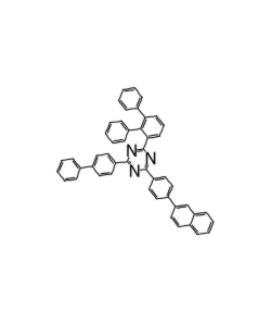 c1ccc(-c2ccc(-c3nc(-c4ccc(-c5ccc6ccccc6c5)cc4)nc(-c4cccc(-c5ccccc5)c4-c4ccccc4)n3)cc2)cc1